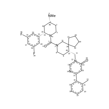 CN[C@@H]1CCN(C(=O)N2CC[C@@H](Cn3cnc(-c4ccccc4C)cc3=O)C3(CCCC3)C2)[C@H](c2cc(F)cc(F)c2)C1